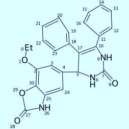 CCOc1cc(C2NC(=O)NC(c3ccccc3)=C2c2ccccc2)cc2[nH]c(=O)oc12